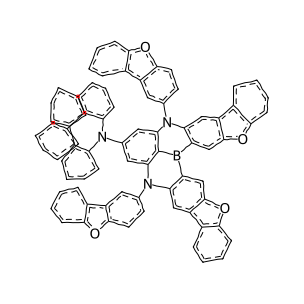 c1ccc(-c2ccccc2N(c2cc3c4c(c2)N(c2ccc5oc6ccccc6c5c2)c2cc5c(cc2B4c2cc4oc6ccccc6c4cc2N3c2ccc3oc4ccccc4c3c2)oc2ccccc25)c2ccccc2-c2ccccc2)cc1